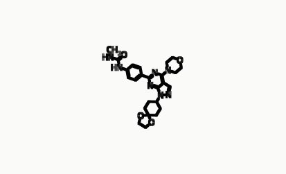 CNC(=O)Nc1ccc(-c2nc(N3CCOCC3)c3cnn(C4CCC5(CC4)OCCO5)c3n2)cc1